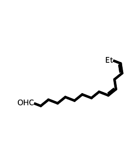 CC/C=C\C/C=C\CCCCCCCCC=O